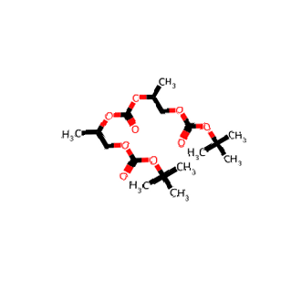 CC(COC(=O)OC(C)(C)C)OC(=O)OC(C)COC(=O)OC(C)(C)C